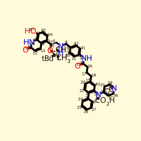 CC(C)(C)[Si](C)(C)O[C@H](CNCc1ccc(NC(=O)CCCc2ccc(-c3ccccc3)c(N(C(=O)O)C34CCN(CC3)CC4)c2)cc1)c1ccc(O)c2[nH]c(=O)ccc12